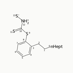 CCCCCCCCCc1ccccc1SC(=S)[NH2+][S-]